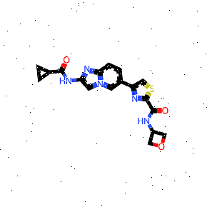 O=C(NC1COC1)c1nc(-c2ccc3nc(NC(=O)C4CC4)cn3c2)cs1